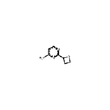 Nc1ccnc(C2CCO2)n1